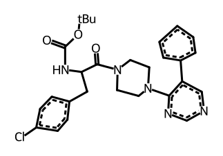 CC(C)(C)OC(=O)NC(Cc1ccc(Cl)cc1)C(=O)N1CCN(c2ncncc2-c2ccccc2)CC1